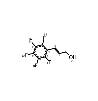 OC/C=C/c1c(F)c(F)c(F)c(F)c1F